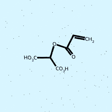 C=CC(=O)OC(C(=O)O)C(=O)O